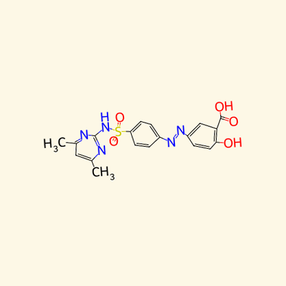 Cc1cc(C)nc(NS(=O)(=O)c2ccc(/N=N/c3ccc(O)c(C(=O)O)c3)cc2)n1